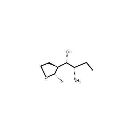 CC[C@H](N)[C@@H](O)[C@@H]1CCO[C@H]1C